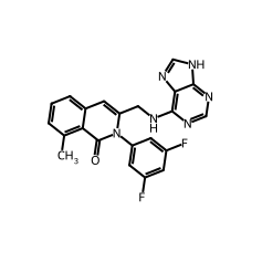 Cc1cccc2cc(CNc3ncnc4[nH]cnc34)n(-c3cc(F)cc(F)c3)c(=O)c12